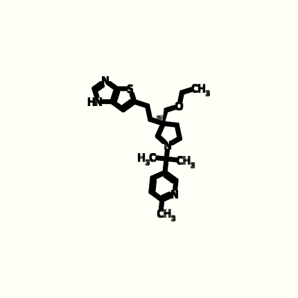 CCOC[C@@]1(CCc2cc3[nH]cnc3s2)CCN(C(C)(C)c2ccc(C)nc2)C1